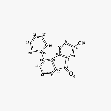 O=C1c2cc(Cl)ccc2-c2c1cccc2-c1ccccc1